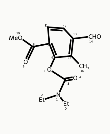 CCN(CC)C(=O)Oc1c(C(=O)OC)ccc(C=O)c1C